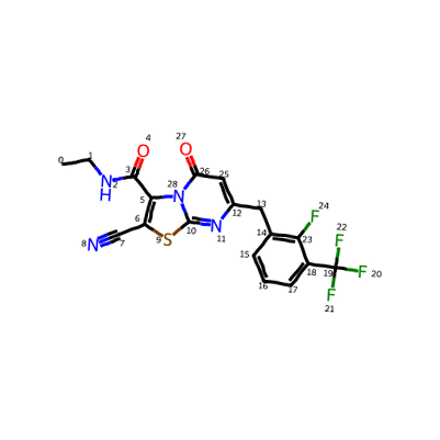 CCNC(=O)c1c(C#N)sc2nc(Cc3cccc(C(F)(F)F)c3F)cc(=O)n12